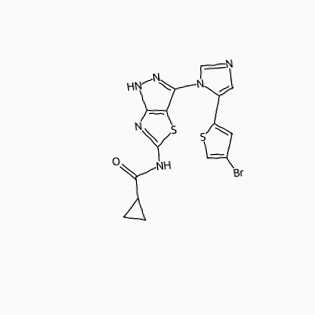 O=C(Nc1nc2[nH]nc(-n3cncc3-c3cc(Br)cs3)c2s1)C1CC1